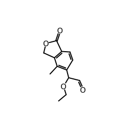 CCOC(C=O)c1ccc2c(c1C)COC2=O